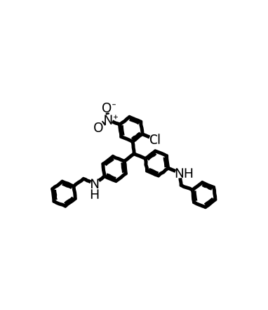 O=[N+]([O-])c1ccc(Cl)c(C(c2ccc(NCc3ccccc3)cc2)c2ccc(NCc3ccccc3)cc2)c1